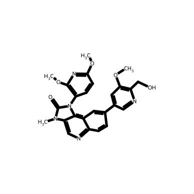 COc1ccc(-n2c(=O)n(C)c3cnc4ccc(-c5cnc(CO)c(OC)c5)cc4c32)c(OC)n1